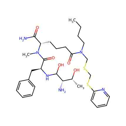 CCCCN(CSCSc1ccccn1)C(=O)CCC[C@@H](C(N)=O)N(C)C(=O)[C@H](Cc1ccccc1)NC(O)[C@@H](N)[C@@H](C)O